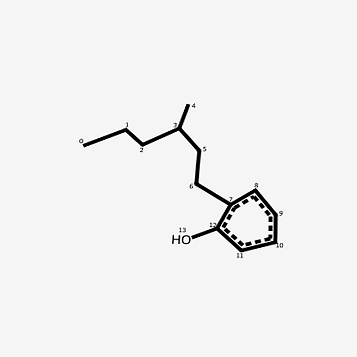 CCCC(C)CCc1ccccc1O